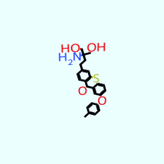 Cc1ccc(Oc2ccc3sc4cc(CCC(N)(CO)CO)ccc4c(=O)c3c2)cc1